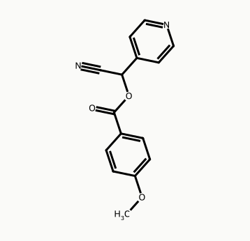 COc1ccc(C(=O)OC(C#N)c2ccncc2)cc1